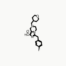 Fc1ccc(Cc2ncc3n2CCN(CC2CCOCC2)C3)cc1.OCl